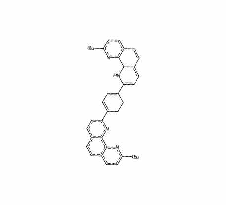 CC(C)(C)c1ccc2c(n1)C1NC(C3=CC=C(c4ccc5ccc6ccc(C(C)(C)C)nc6c5n4)CC3)=CC=C1C=C2